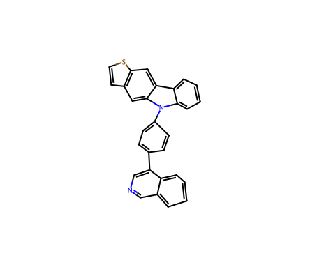 c1ccc2c(-c3ccc(-n4c5ccccc5c5cc6sccc6cc54)cc3)cncc2c1